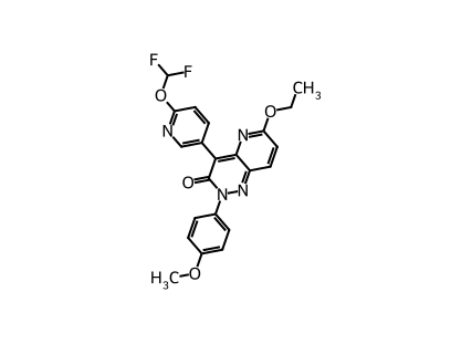 CCOc1ccc2nn(-c3ccc(OC)cc3)c(=O)c(-c3ccc(OC(F)F)nc3)c2n1